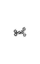 C1=C(c2ccccc2)NC(c2ccc(-n3c4ccccc4c4ccccc43)cc2)N=C1c1ccccc1